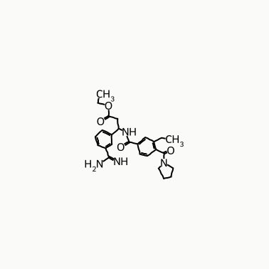 CCOC(=O)CC(NC(=O)c1ccc(C(=O)N2CCCC2)c(CC)c1)c1cccc(C(=N)N)c1